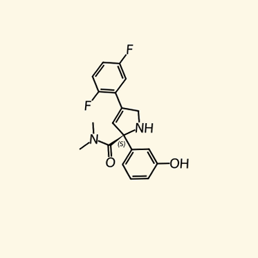 CN(C)C(=O)[C@@]1(c2cccc(O)c2)C=C(c2cc(F)ccc2F)CN1